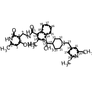 COc1cc(C)[nH]c(=O)c1CNC(=O)c1c(C)n([C@H](C)C2CCN(Cc3cc(C)nc(C)c3)CC2)c2ccccc12